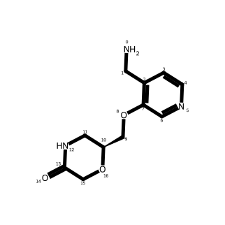 NCc1ccncc1OC[C@@H]1CNC(=O)CO1